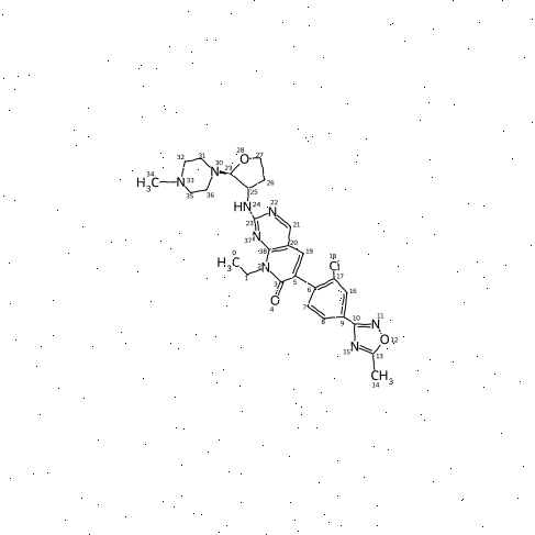 CCn1c(=O)c(-c2ccc(-c3noc(C)n3)cc2Cl)cc2cnc(NC3CCO[C@@H]3N3CCN(C)CC3)nc21